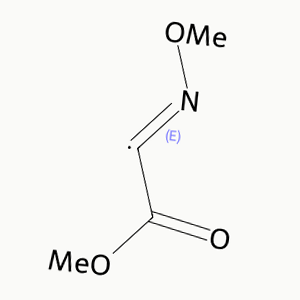 CO/N=[C]/C(=O)OC